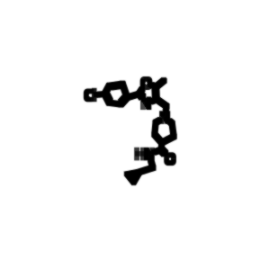 Cc1oc(-c2ccc(Cl)cc2)nc1CN1CCC(C(=O)NCC2CC2)CC1